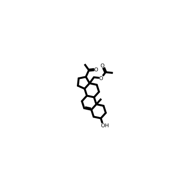 CC(=O)OCC12CCC3C(CC=C4CC(O)CCC43C)C1CCC2C(C)=O